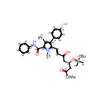 CCn1c(/C=C/C(=O)C[C@H](CC(=O)OC)O[Si](C)(C)C(C)(C)C)c(-c2ccc(F)cc2)c(C(C)C)c1C(=O)Nc1ccccc1